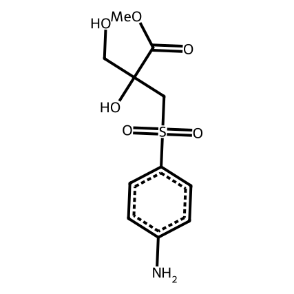 COC(=O)C(O)(CO)CS(=O)(=O)c1ccc(N)cc1